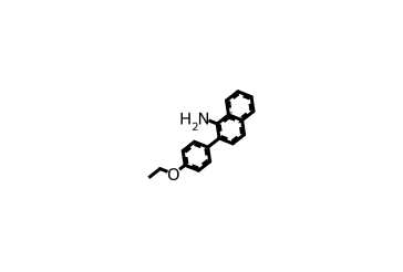 CCOc1ccc(-c2ccc3ccccc3c2N)cc1